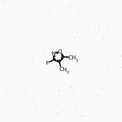 Cc1onc(F)c1C